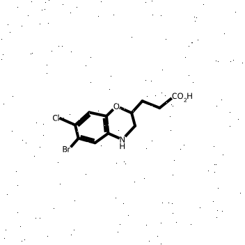 O=C(O)CCC1CNc2cc(Br)c(Cl)cc2O1